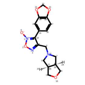 [O-][n+]1onc(CN2C[C@H]3COC[C@H]3C2)c1-c1ccc2c(c1)OCO2